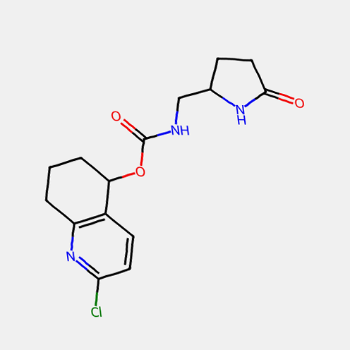 O=C1CCC(CNC(=O)OC2CCCc3nc(Cl)ccc32)N1